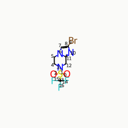 O=S(=O)(N1CCn2cc(Br)nc2C1)C(F)(F)F